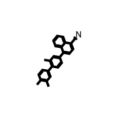 Cc1ccc(-c2ccc(-c3ccc(C#N)c4ccccc34)cc2C)cc1C